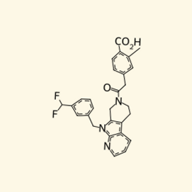 Cc1cc(CC(=O)N2CCc3c(n(Cc4cccc(C(F)F)c4)c4ncccc34)C2)ccc1C(=O)O